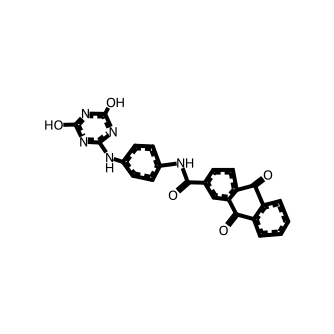 O=C(Nc1ccc(Nc2nc(O)nc(O)n2)cc1)c1ccc2c(c1)C(=O)c1ccccc1C2=O